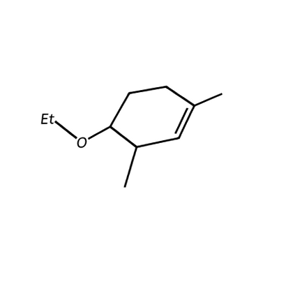 CCOC1CCC(C)=CC1C